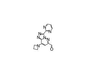 O=Cc1cc(N2CCC2)c2nnc(-c3ncccn3)n2n1